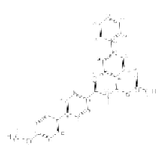 COc1ccc(-c2ccc(C(=O)NC(CC(=O)O)c3ccc(-c4ccccc4)cc3)cc2)cc1